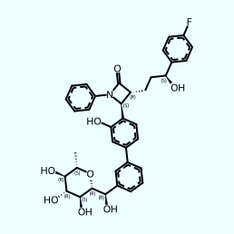 C[C@@H]1O[C@H]([C@H](O)c2cccc(-c3ccc([C@@H]4[C@@H](CC[C@H](O)c5ccc(F)cc5)C(=O)N4c4ccccc4)c(O)c3)c2)[C@@H](O)[C@H](O)[C@H]1O